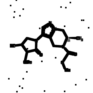 COC1C(=O)N(c2cnn3c2CN(C(=O)OC(C)(C)C)[C@@H](C)C3)CC1C#N